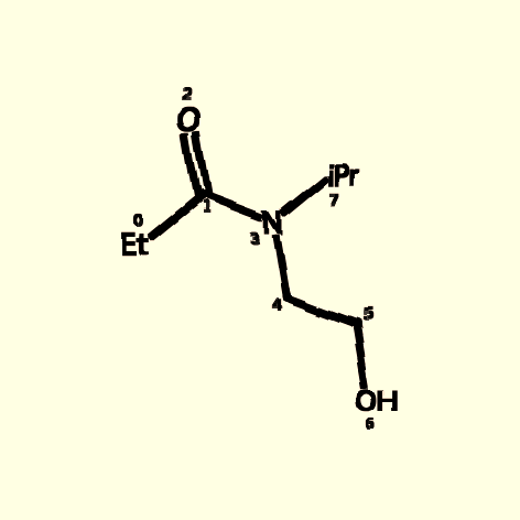 CCC(=O)N(CCO)C(C)C